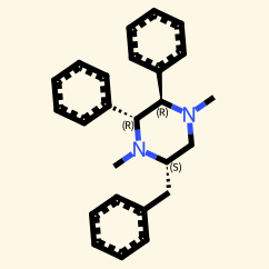 CN1C[C@H](Cc2ccccc2)N(C)[C@H](c2ccccc2)[C@H]1c1ccccc1